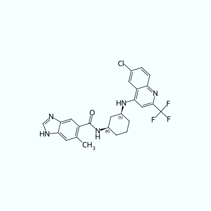 Cc1cc2[nH]cnc2cc1C(=O)N[C@@H]1CCC[C@H](Nc2cc(C(F)(F)F)nc3ccc(Cl)cc23)C1